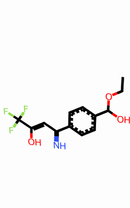 CCOC(O)c1ccc(C(=N)/C=C(\O)C(F)(F)F)cc1